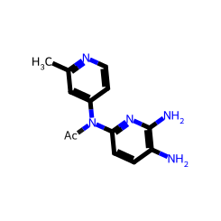 CC(=O)N(c1ccnc(C)c1)c1ccc(N)c(N)n1